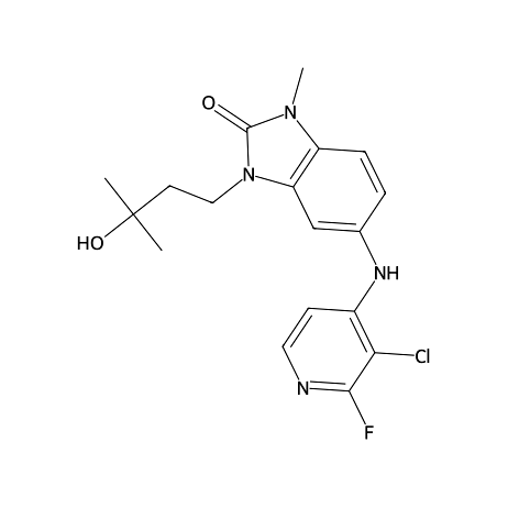 Cn1c(=O)n(CCC(C)(C)O)c2cc(Nc3ccnc(F)c3Cl)ccc21